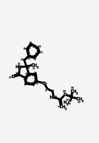 C=C(NCCOc1ccc2c(c1)C(C)(Cc1ccccc1)NC2=O)OC(C)(C)C